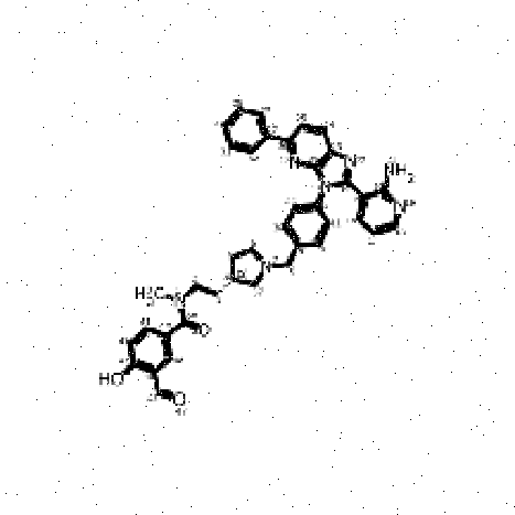 CN(CC[C@@H]1CCN(Cc2ccc(-n3c(-c4cccnc4N)nc4ccc(-c5ccccc5)nc43)cc2)C1)C(=O)c1ccc(O)c(C=O)c1